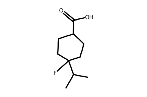 CC(C)C1(F)CCC(C(=O)O)CC1